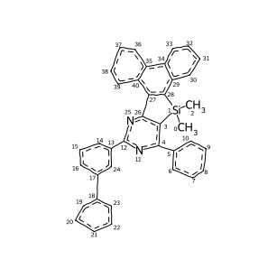 C[Si]1(C)c2c(-c3ccccc3)nc(-c3cccc(-c4ccccc4)c3)nc2-c2c1c1ccccc1c1ccccc21